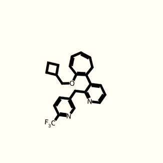 FC(F)(F)c1ccc(Cc2ncccc2C2=C(OCC3CCC3)C=CC=CC2)cn1